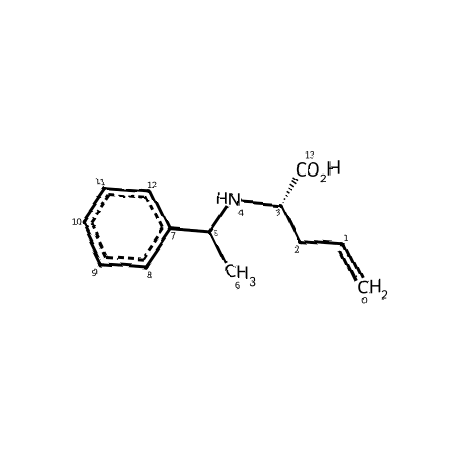 C=CC[C@H](NC(C)c1ccccc1)C(=O)O